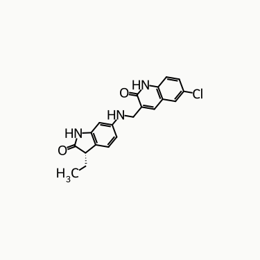 CC[C@@H]1C(=O)Nc2cc(NCc3cc4cc(Cl)ccc4[nH]c3=O)ccc21